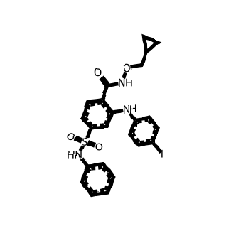 O=C(NOCC1CC1)c1ccc(S(=O)(=O)Nc2ccccc2)cc1Nc1ccc(I)cc1